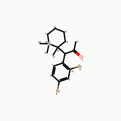 CC(=O)C(c1ccc(Br)cc1Br)C1(C)CCCC[Si]1(C)C